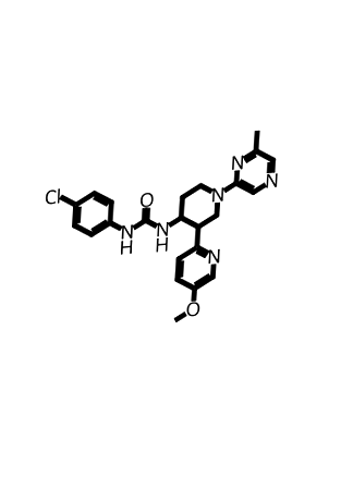 COc1ccc(C2CN(c3cncc(C)n3)CCC2NC(=O)Nc2ccc(Cl)cc2)nc1